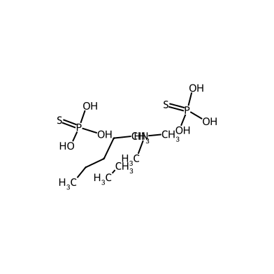 CC.CCCCC.CNC.OP(O)(O)=S.OP(O)(O)=S